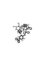 CCCc1nnn(C[C@@]2(C)[C@H](C(=O)OCc3ccc([N+](=O)[O-])cc3)N3C(=O)C[C@@H]3S2(=O)=O)c1CCC